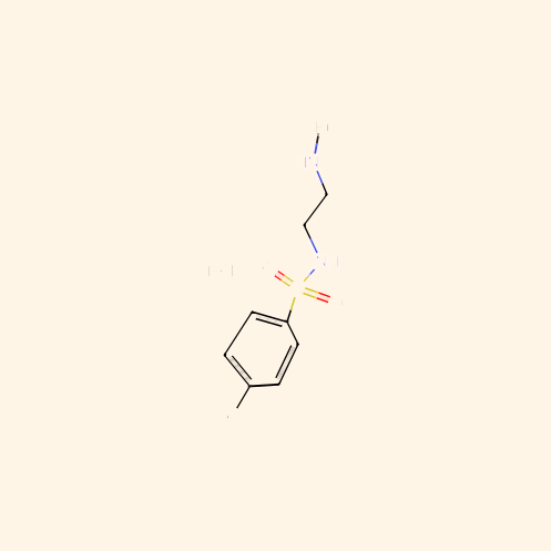 CCNCCNS(=O)(=O)c1ccc(C)cc1.Cl